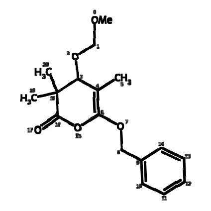 COCOC1C(C)=C(OCc2ccccc2)OC(=O)C1(C)C